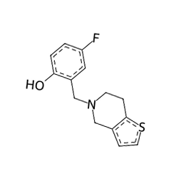 Oc1ccc(F)cc1CN1CCc2sccc2C1